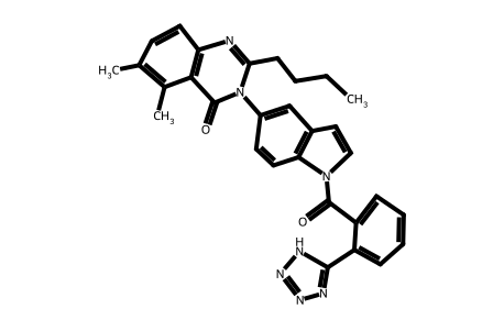 CCCCc1nc2ccc(C)c(C)c2c(=O)n1-c1ccc2c(ccn2C(=O)c2ccccc2-c2nnn[nH]2)c1